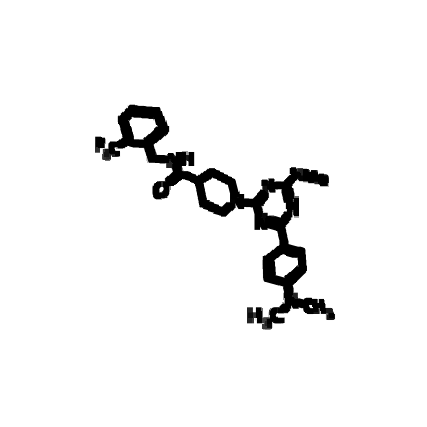 CNc1nc(-c2ccc(N(C)C)cc2)nc(N2CCC(C(=O)NCc3ccccc3C(F)(F)F)CC2)n1